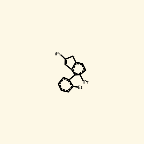 CCc1ccccc1-c1c(C(C)C)ccc2c1C=C(C(C)C)[CH]2